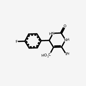 CC(C)C1=C(C(=O)O)C(c2ccc(F)cc2)NC(=O)N1